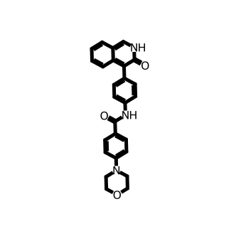 O=C(Nc1ccc(-c2c(=O)[nH]cc3ccccc23)cc1)c1ccc(N2CCOCC2)cc1